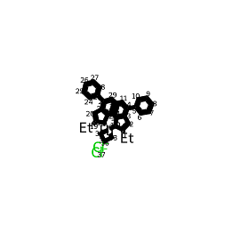 CCC1=Cc2c(-c3ccccc3)cccc2[CH]1[Hf+2]1([CH]2C(CC)=Cc3c(-c4ccccc4)cccc32)[CH2]C[CH2]1.[Cl-].[Cl-]